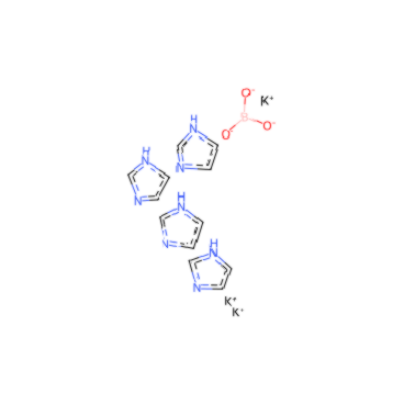 [K+].[K+].[K+].[O-]B([O-])[O-].c1c[nH]cn1.c1c[nH]cn1.c1c[nH]cn1.c1c[nH]cn1